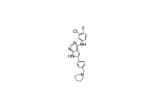 Fc1ccc(Nc2ncnc3[nH]c(-c4ccc(CN5CCCCC5)cc4)cc23)cc1Cl